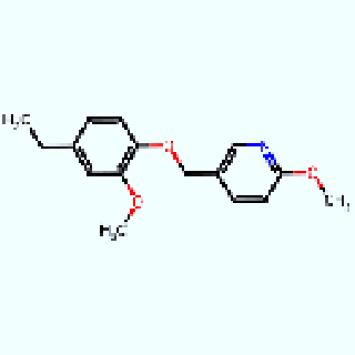 CCc1ccc(OCc2ccc(OC)nc2)c(OC)c1